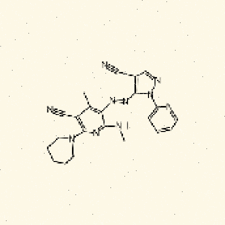 CNc1nc(N2CCCCC2)c(C#N)c(C)c1/N=N/c1c(C#N)cnn1-c1ccccn1